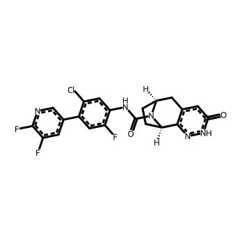 O=C(Nc1cc(Cl)c(-c2cnc(F)c(F)c2)cc1F)N1[C@H]2CC[C@@H]1c1n[nH]c(=O)cc1C2